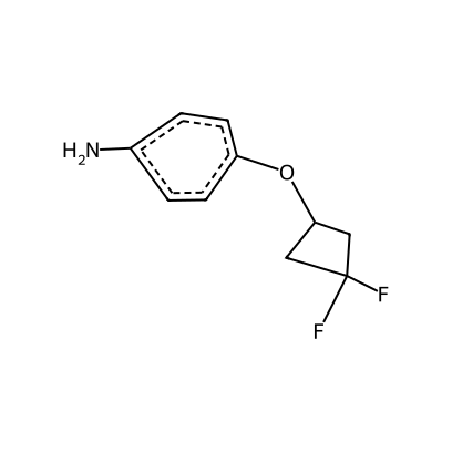 Nc1ccc(OC2CC(F)(F)C2)cc1